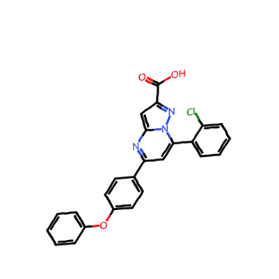 O=C(O)c1cc2nc(-c3ccc(Oc4ccccc4)cc3)cc(-c3ccccc3Cl)n2n1